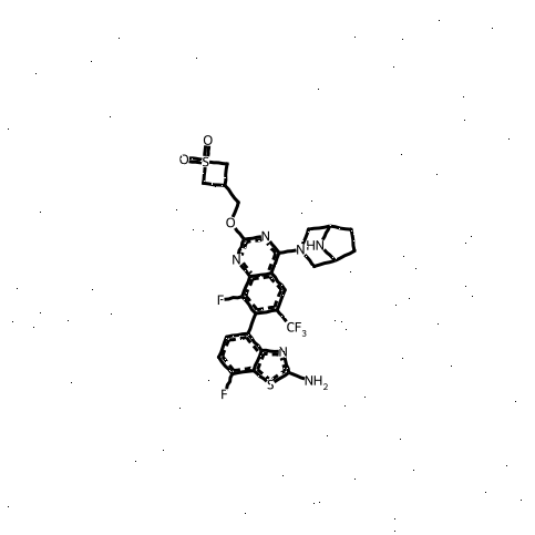 Nc1nc2c(-c3c(C(F)(F)F)cc4c(N5CC6CCC(C5)N6)nc(OCC5CS(=O)(=O)C5)nc4c3F)ccc(F)c2s1